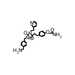 NCc1ccc(CNC(=O)N(CCc2cccnc2)C(=O)[CH]Cc2ccc(OCC(N)=O)cc2)cc1